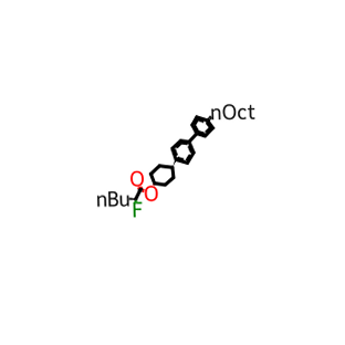 CCCCCCCCc1ccc(-c2ccc([C@H]3CC[C@H](OC(=O)[C@@H](F)CCCC)CC3)cc2)cc1